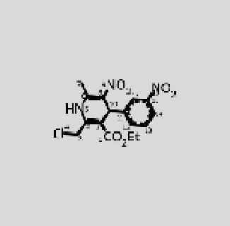 CCOC(=O)C1=C(CCl)NC(C)=C([N+](=O)[O-])C1c1cccc([N+](=O)[O-])c1